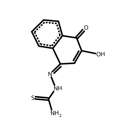 NC(=S)NN=C1C=C(O)C(=O)c2ccccc21